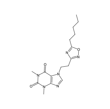 CCCCCc1nc(CCn2cnc3c2c(=O)n(C)c(=O)n3C)no1